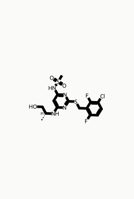 C[C@H](CO)Nc1cc(NS(C)(=O)=O)nc(SCc2c(F)ccc(Cl)c2F)n1